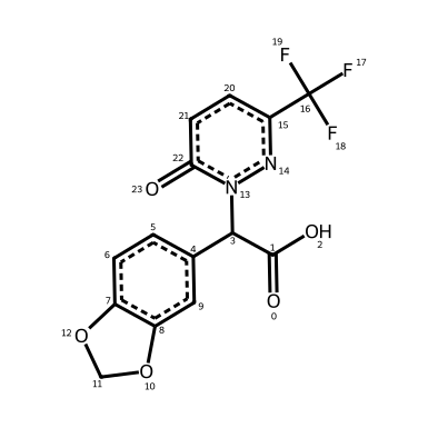 O=C(O)C(c1ccc2c(c1)OCO2)n1nc(C(F)(F)F)ccc1=O